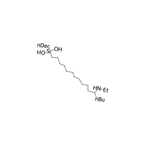 CCCCCCCCCC[Si](O)(O)CCCCCCCCCCCC(CCCC)NCC